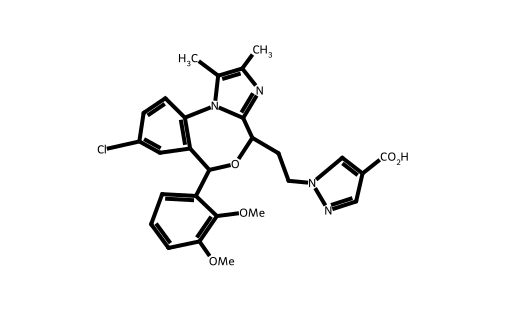 COc1cccc(C2OC(CCn3cc(C(=O)O)cn3)c3nc(C)c(C)n3-c3ccc(Cl)cc32)c1OC